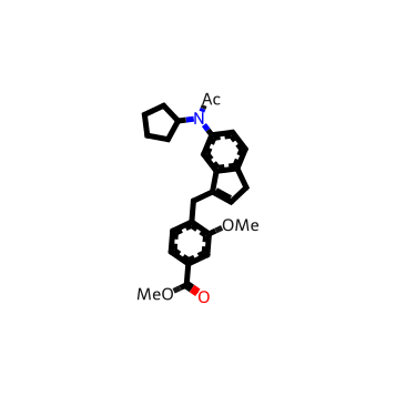 COC(=O)c1ccc(CC2=CCc3ccc(N(C(C)=O)C4CCCC4)cc32)c(OC)c1